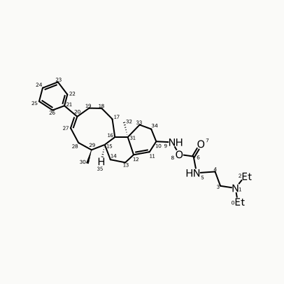 CCN(CC)CCNC(=O)ONC1C=C2CC[C@@H]3C(CCC/C(c4ccccc4)=C\C[C@@H]3C)[C@@]2(C)CC1